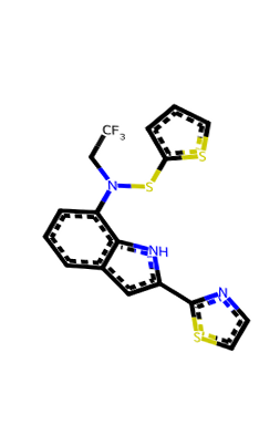 FC(F)(F)CN(Sc1cccs1)c1cccc2cc(-c3nccs3)[nH]c12